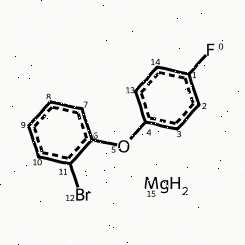 Fc1ccc(Oc2ccccc2Br)cc1.[MgH2]